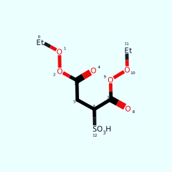 CCOOC(=O)CC(C(=O)OOCC)S(=O)(=O)O